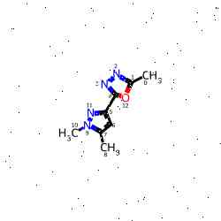 Cc1nnc(-c2cc(C)n(C)n2)o1